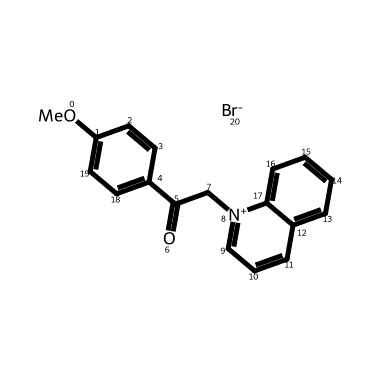 COc1ccc(C(=O)C[n+]2cccc3ccccc32)cc1.[Br-]